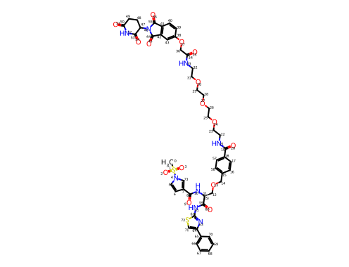 CS(=O)(=O)n1ccc(C(=O)N[C@@H](COCc2ccc(C(=O)NCCOCCOCCOCCNC(=O)COc3ccc4c(c3)C(=O)N(C3CCC(=O)NC3=O)C4=O)cc2)C(=O)Nc2nc(-c3ccccc3)cs2)c1